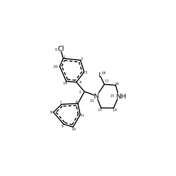 Clc1ccc(C(c2ccccc2)N2CCNCC2I)cc1